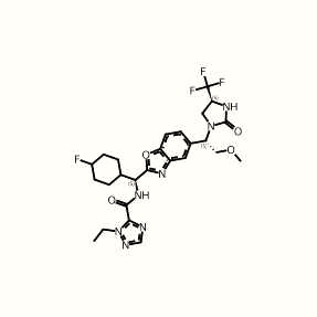 CCn1ncnc1C(=O)N[C@H](c1nc2cc([C@@H](COC)N3C[C@@H](C(F)(F)F)NC3=O)ccc2o1)C1CCC(F)CC1